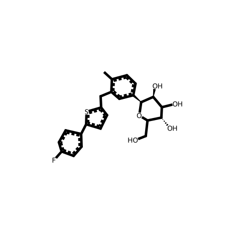 Cc1ccc([C@@H]2OC(CO)[C@@H](O)C(O)[C@@H]2O)cc1Cc1ccc(-c2ccc(F)cc2)s1